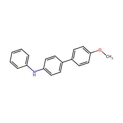 COc1ccc(-c2ccc(Nc3ccccc3)cc2)cc1